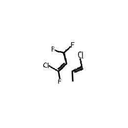 CC=CCl.FC(Cl)=CC(F)F